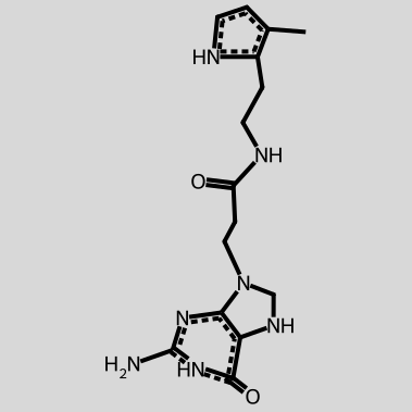 Cc1cc[nH]c1CCNC(=O)CCN1CNc2c1nc(N)[nH]c2=O